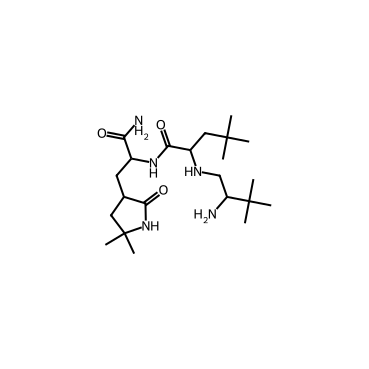 CC(C)(C)CC(NCC(N)C(C)(C)C)C(=O)NC(CC1CC(C)(C)NC1=O)C(N)=O